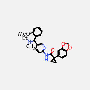 CCN(C)C(c1ccc(NC(=O)C2(c3ccc4c(c3)OCO4)CC2)nc1)c1ccccc1OC